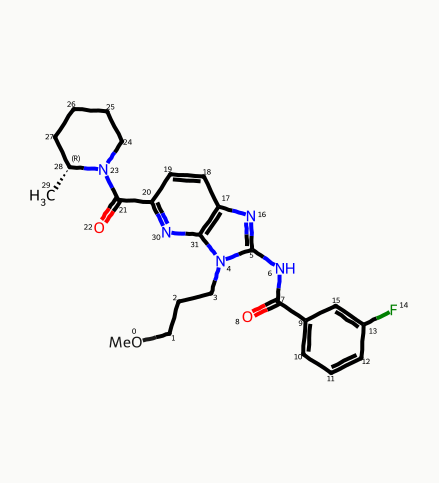 COCCCn1c(NC(=O)c2cccc(F)c2)nc2ccc(C(=O)N3CCCC[C@H]3C)nc21